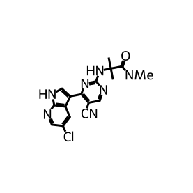 CNC(=O)C(C)(C)Nc1ncc(C#N)c(-c2c[nH]c3ncc(Cl)cc23)n1